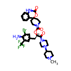 CN1CCC(N2CCN(C(=O)[C@@H](Cc3cc(Br)c(N)c(C(F)(F)F)c3)OC(=O)N3CCC4(CC3)OC(=O)Nc3ccccc34)CC2)CC1